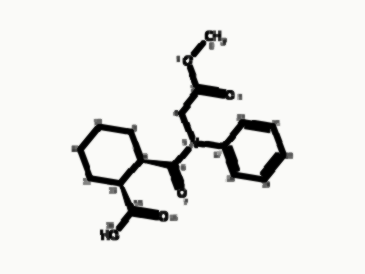 COC(=O)CN(C(=O)[C@@H]1CCCC[C@@H]1C(=O)O)c1ccccc1